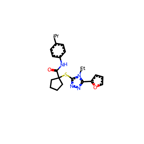 CCn1c(SC2(C(=O)Nc3ccc(C(C)C)cc3)CCCC2)nnc1-c1ccco1